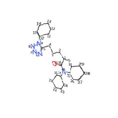 CC(CCCc1nnnn1C1CCCCC1)C(=O)N(C1CCCCC1)C1CCCCC1